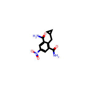 NC(=O)c1cc([N+](=O)[O-])cc(C(N)=O)c1CC1CC1